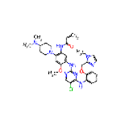 C=CC(=O)Nc1cc(Nc2ncc(Cl)c(Nc3ccccc3OCc3nccn3C)n2)c(OC)cc1N1CCC(N(C)C)CC1